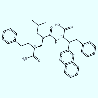 CC(C)CN(C[C@H](CCc1ccccc1)C(N)=O)C(=O)N[C@H](C(=O)O)C(Cc1ccccc1)c1ccc2ccccc2c1